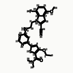 CCOc1cc(-c2cc(NCCn3c(C#N)cc4c(OC)ccc(F)c43)ncn2)sc1C(=O)N(C)C